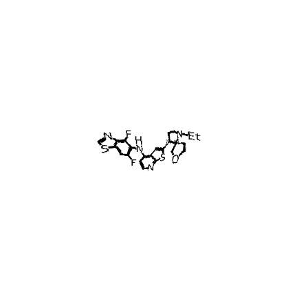 CCN1CC[C@H](c2cc3c(Nc4c(F)cc5scnc5c4F)ccnc3s2)[C@]12CCOC2